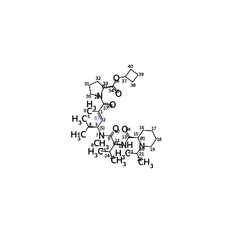 C/C(=C\[C@H](C(C)C)N(C)C(=O)[C@@H](NC(=O)[C@H]1CCCCN1C(C)C)C(C)C)C(=O)N1CCC[C@H]1C(=O)OC1CCC1